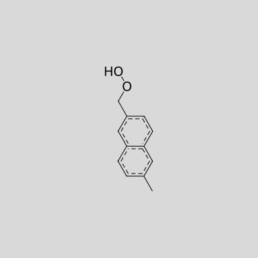 Cc1ccc2cc(COO)ccc2c1